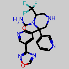 NC(=O)N1C(C(F)(F)F)CNCC1(c1cccnc1)c1cncc(-c2ncon2)c1